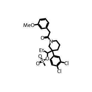 CCC(OS(C)(=O)=O)C1(c2ccc(Cl)c(Cl)c2)CCCN(C(=O)Cc2cccc(OC)c2)C1